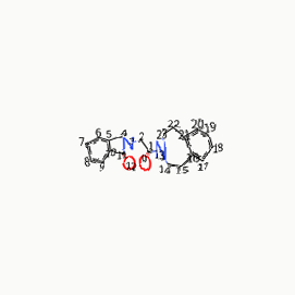 O=C(CN1Cc2ccccc2C1=O)N1CCc2ccccc2CC1